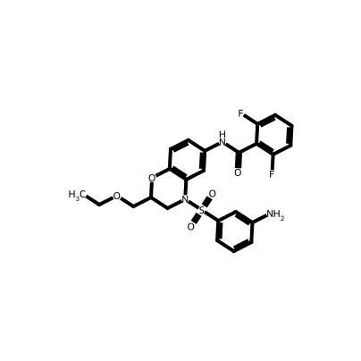 CCOCC1CN(S(=O)(=O)c2cccc(N)c2)c2cc(NC(=O)c3c(F)cccc3F)ccc2O1